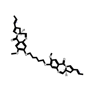 C/C=C/C1=CN2C(=O)c3cc(OC)c(OCCCCCOc4cc5c(cc4OC)C(=O)N4C=C(/C=C/C)C[C@H]4C=N5)cc3N=C[C@@H]2C1